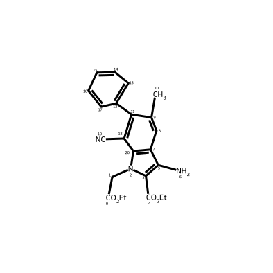 CCOC(=O)Cn1c(C(=O)OCC)c(N)c2cc(C)c(-c3ccccc3)c(C#N)c21